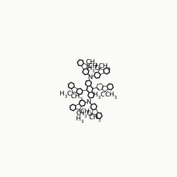 CC1(C)C2=C(CCC(c3c4cc(N(c5ccc6c(c5)C(C)(C)c5ccccc5-6)c5ccc6c(c5)C(C)(C)c5ccccc5-6)ccc4c(-c4ccc5c(c4)-c4ccccc4C5(C)C)c4cc(N(c5ccc6c(c5)C(C)(C)c5ccccc5-6)c5ccc6c(c5)C(C)(C)c5ccccc5-6)ccc34)=C2)c2ccccc21